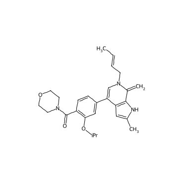 C=C1c2[nH]c(C)cc2C(c2ccc(C(=O)N3CCOCC3)c(OC(C)C)c2)=CN1C/C=C/C